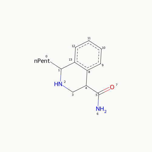 CCCCCC1NCC(C(N)=O)c2ccccc21